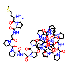 CSCC[C@H](N)C(=O)N1CCC[C@H]1C(=O)NCC(=O)N1CCC[C@H]1C(=O)N1CCC[C@H]1C(=O)NCC(=O)N1CCC[C@H]1C(=O)N1CCC[C@H]1C(=O)NCC(=O)N1CCC[C@H]1C(=O)N1CCC[C@H]1C(=O)NCC(=O)N1CCC[C@H]1C(=O)N1CCC[C@H]1C(=O)NCC(=O)N1CCC[C@H]1C(=O)N1CCC[C@H]1C(=O)NCC(=O)N1CCC[C@H]1C(=O)N1CCC[C@H]1C(=O)NCC(=O)O